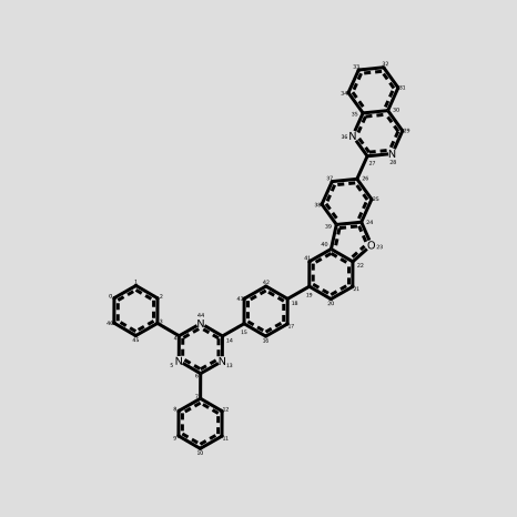 c1ccc(-c2nc(-c3ccccc3)nc(-c3ccc(-c4ccc5oc6cc(-c7ncc8ccccc8n7)ccc6c5c4)cc3)n2)cc1